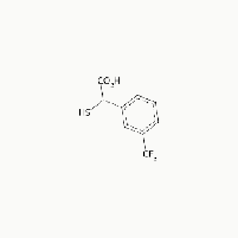 O=C(O)C(S)c1cccc(C(F)(F)F)c1